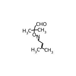 CC(C)=C/C=N/OC(C)(C)CC=O